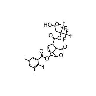 O=C(O)CC(OC(=O)C1C2CC3C(OC(=O)C31)C2OC(=O)c1cc(I)cc(I)c1I)(C(F)(F)F)C(F)(F)F